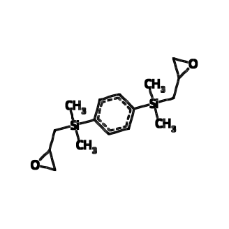 C[Si](C)(CC1CO1)c1ccc([Si](C)(C)CC2CO2)cc1